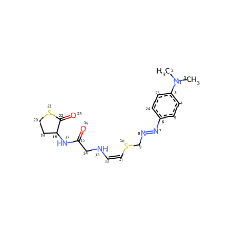 CN(C)c1ccc(/N=N/CS/C=C\NCC(=O)NC2CCSC2=O)cc1